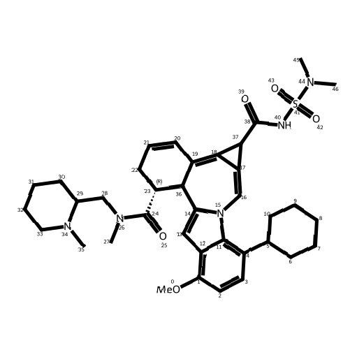 COc1ccc(C2CCCCC2)c2c1cc1n2C=C2C(=C3C=CC[C@@H](C(=O)N(C)CC4CCCCN4C)C31)C2C(=O)NS(=O)(=O)N(C)C